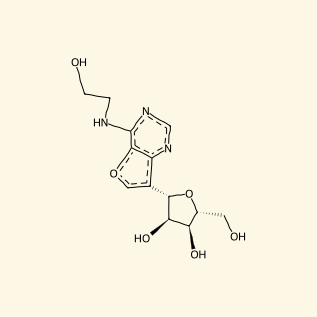 OCCNc1ncnc2c([C@@H]3O[C@H](CO)[C@@H](O)[C@H]3O)coc12